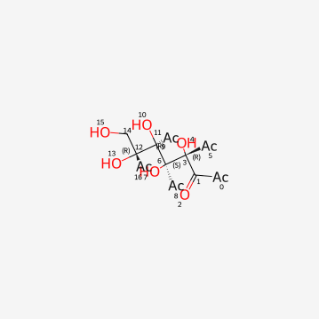 CC(=O)C(=O)[C@](O)(C(C)=O)[C@](O)(C(C)=O)[C@@](O)(C(C)=O)[C@](O)(CO)C(C)=O